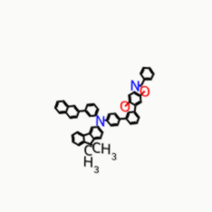 CC1(C)c2ccccc2-c2cc(N(c3ccc(-c4cccc5c4oc4cc6nc(-c7ccccc7)oc6cc45)cc3)c3cccc(-c4ccc5ccccc5c4)c3)ccc21